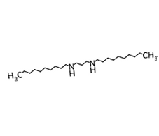 CCCCCCCCCCNCCCNCCCCCCCCCC